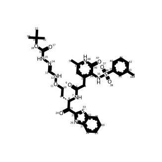 Cc1cc(CC(=O)N[C@@H](CCONC=NNC(=O)OC(C)(C)C)C(=O)c2nc3ccccc3s2)c(NS(=O)(=O)c2cccc(I)c2)c(=O)[nH]1